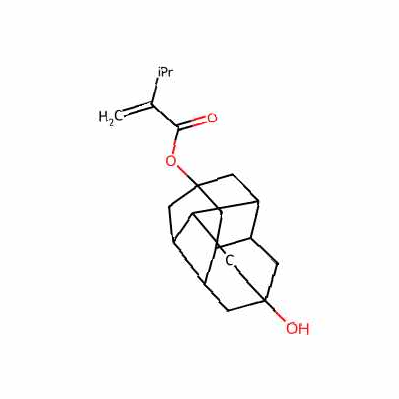 C=C(C(=O)OC12CC3C4CC5(O)CC3C(C1)C(C5)C4C2)C(C)C